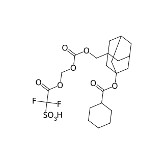 O=C(OCOC(=O)C(F)(F)S(=O)(=O)O)OCC12CC3CC(C1)CC(OC(=O)C1CCCCC1)(C3)C2